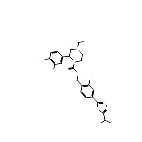 CCN1CCN(C(=O)NCc2ccc(-c3nnc(C(F)F)o3)cc2F)C(c2ccc(C)c(Cl)c2)C1